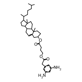 CC(C)CCCC(C)C1CCC2C3CC=C4CC(OC(=O)CCCOC(=O)Cc5cc(N)cc(N)c5)CCC4(C)C3CCC12C